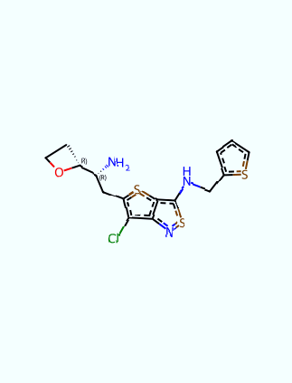 N[C@H](Cc1sc2c(NCc3cccs3)snc2c1Cl)[C@H]1CCO1